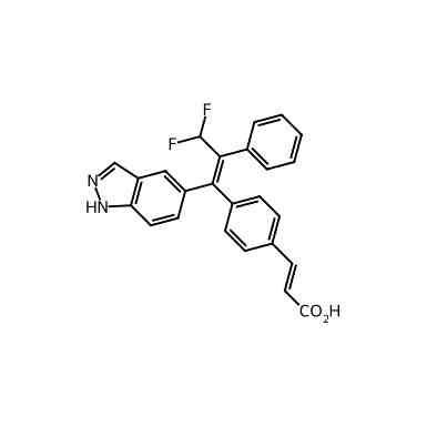 O=C(O)C=Cc1ccc(C(=C(c2ccccc2)C(F)F)c2ccc3[nH]ncc3c2)cc1